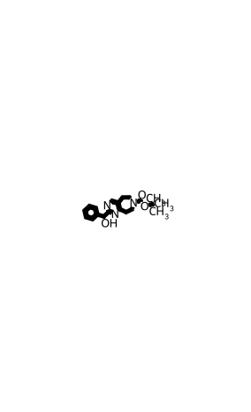 CC(C)(C)OC(=O)N1CCc2cnc([C@@H](O)c3ccccc3)nc2CC1